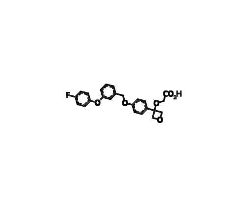 O=C(O)COC1(c2ccc(OCc3cccc(Oc4ccc(F)cc4)c3)cc2)COC1